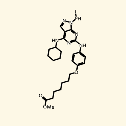 COC(=O)CCCCCCOc1ccc(Nc2nc(NC3CCCCC3)c3cnn(PI)c3n2)cc1